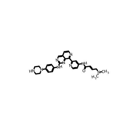 CN(C)CC=CC(=O)Nc1ccnc(-c2nccc3cnc(Nc4ccc(N5CCNCC5)cc4)nc23)c1